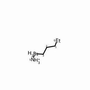 CCCCC[BH2-][NH3+]